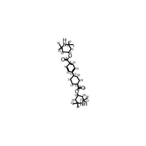 CC1(C)CC(OC(=O)c2ccc(C3CCC(C(=O)OC4CC(C)(C)NC(C)(C)C4)CC3)cc2)CC(C)(C)N1